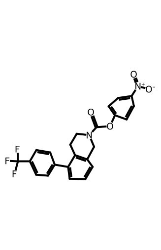 O=C(Oc1ccc([N+](=O)[O-])cc1)N1CCc2c(cccc2-c2ccc(C(F)(F)F)cc2)C1